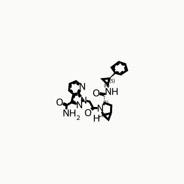 NC(=O)c1nn(CC(=O)N2[C@@H]3CC3C[C@H]2C(=O)N[C@@H]2C[C@H]2c2ccccc2)c2ncccc12